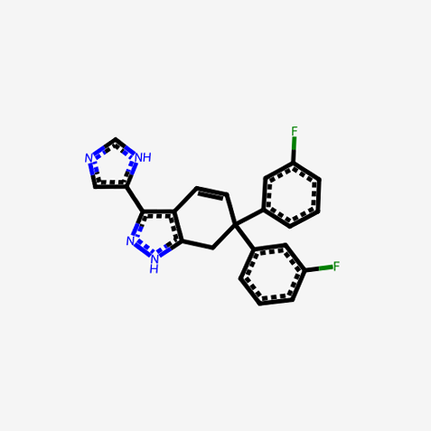 Fc1cccc(C2(c3cccc(F)c3)C=Cc3c(-c4cnc[nH]4)n[nH]c3C2)c1